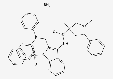 B.COCC(C)(CCc1ccccc1)[S+]([O-])Nc1c(CP(c2ccccc2)c2ccccc2)n(S(=O)(=O)c2ccccc2)c2ccccc12